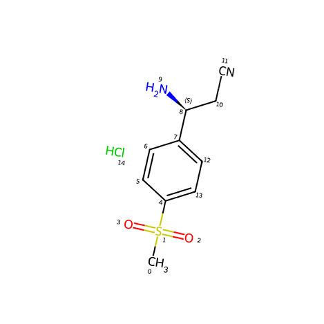 CS(=O)(=O)c1ccc([C@@H](N)CC#N)cc1.Cl